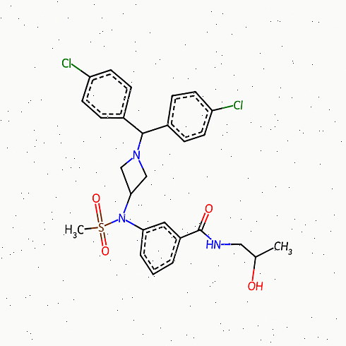 CC(O)CNC(=O)c1cccc(N(C2CN(C(c3ccc(Cl)cc3)c3ccc(Cl)cc3)C2)S(C)(=O)=O)c1